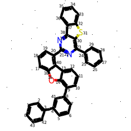 c1ccc(-c2cccc(-c3cccc4c3oc3cccc(-c5nc(-c6ccccc6)c6sc7ccccc7c6n5)c34)c2)cc1